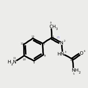 C/C(=N/NC(N)=O)c1ccc(N)cc1